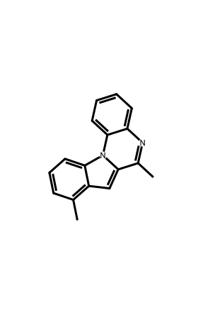 Cc1cccc2c1cc1c(C)nc3ccccc3n12